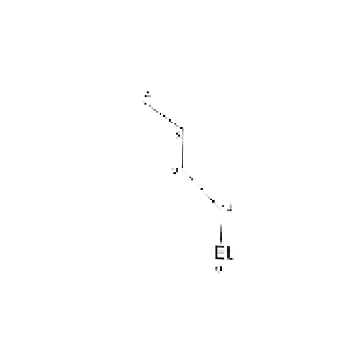 [CH2]C[CH]/C=C/C